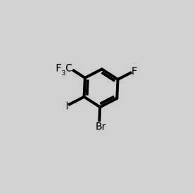 Fc1cc(Br)c(I)c(C(F)(F)F)c1